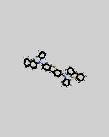 c1ccc(N(c2ccc3ccccc3c2)c2ccc3c(c2)sc2cc(N(c4ccccc4)c4cccc5c4sc4ccccc45)ccc23)cc1